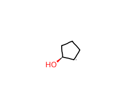 O[C@@H]1[CH]CCC1